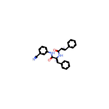 N#Cc1cccc(NC(=O)/C(=C/c2ccccc2)NC(=O)/C=C/c2ccccc2)c1